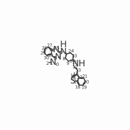 CN(C)c1nc(N[C@H]2CC[C@@H](NCCc3csc4ccccc34)CC2)nc2ccccc12